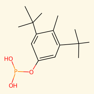 Cc1c(C(C)(C)C)cc(OP(O)O)cc1C(C)(C)C